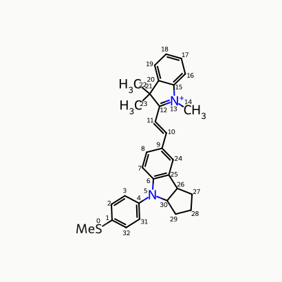 CSc1ccc(N2c3ccc(/C=C/C4=[N+](C)c5ccccc5C4(C)C)cc3C3CCCC32)cc1